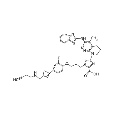 C#CCCNCC12CC(c3ccc(OCCCc4sc(N5CCCc6c5nnc(Nc5nc7ccccc7s5)c6C)nc4C(=O)O)c(F)c3)(C1)C2